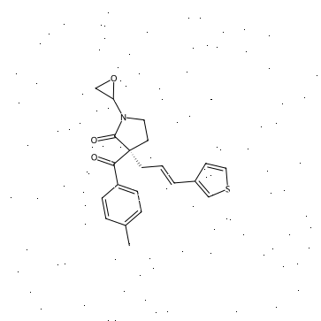 Cc1ccc(C(=O)[C@]2(C/C=C/c3ccsc3)CCN(C3CO3)C2=O)cc1